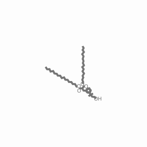 CCCCCCCCCCCCCCCCCCOC(=O)C(Cc1cccc(C(C)(C)CCO)c1)C(=O)OCCCCCCCCCCCCCCCCCC